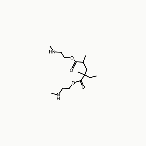 CCC(C)(CC(C)C(=O)OCCNC)C(=O)OCCNC